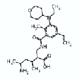 C=Cc1cc(C(=O)NCC(C(=O)O)C(C)CC(C)N)c(C)c(N(CC)C2CCOCC2)c1